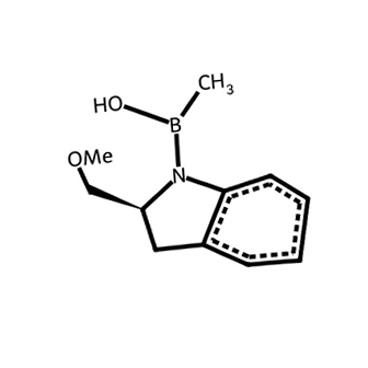 COC[C@@H]1Cc2ccccc2N1B(C)O